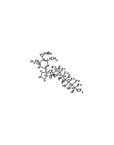 CCCCOc1c(C)cc(S2(OS(=O)(=O)C(F)(F)C(F)(F)C(F)(F)C(F)(F)C(F)(F)C(F)(F)C(F)(F)C(F)(F)F)CCCC2)cc1C